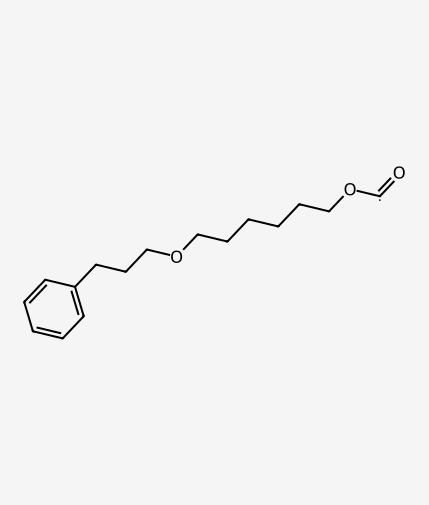 O=[C]OCCCCCCOCCCc1ccccc1